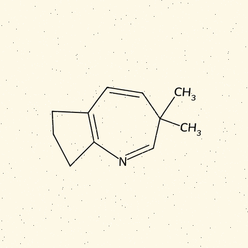 CC1(C)C=CC2=C(CCC2)N=C1